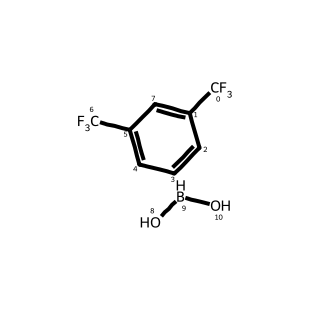 FC(F)(F)c1cccc(C(F)(F)F)c1.OBO